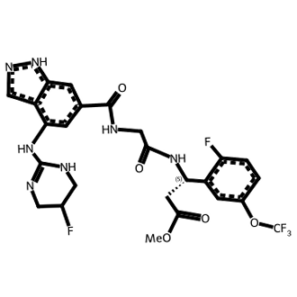 COC(=O)C[C@H](NC(=O)CNC(=O)c1cc(NC2=NCC(F)CN2)c2cn[nH]c2c1)c1cc(OC(F)(F)F)ccc1F